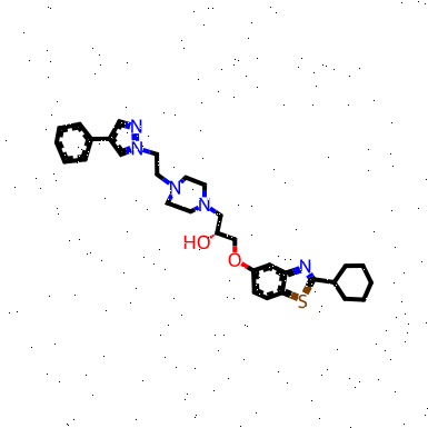 O[C@@H](COc1ccc2sc(C3CCCCC3)nc2c1)CN1CCN(CCn2cc(-c3ccccc3)cn2)CC1